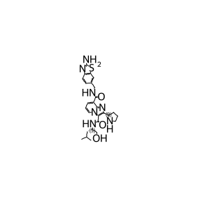 CC(C)C[C@@H](CO)NC(=O)c1c([C@H]2CCCN2)nc2c(C(=O)NCc3ccc4nc(N)sc4c3)cccn12